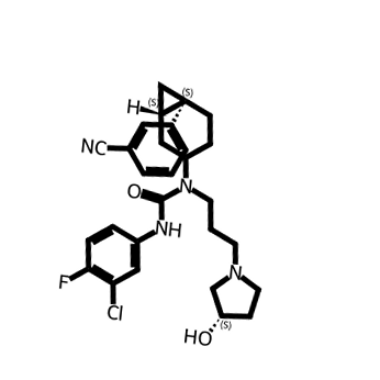 N#Cc1cccc([C@]23CCC(N(CCCN4CC[C@H](O)C4)C(=O)Nc4ccc(F)c(Cl)c4)C[C@@H]2C3)c1